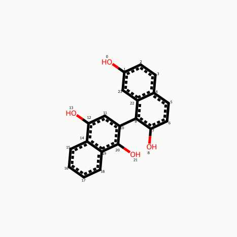 Oc1ccc2ccc(O)c(-c3cc(O)c4ccccc4c3O)c2c1